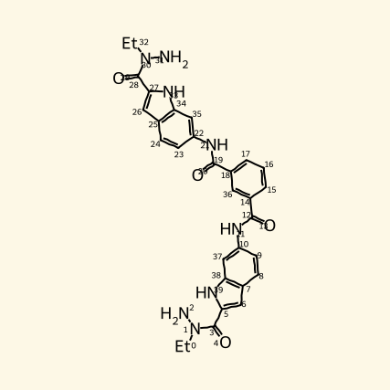 CCN(N)C(=O)c1cc2ccc(NC(=O)c3cccc(C(=O)Nc4ccc5cc(C(=O)N(N)CC)[nH]c5c4)c3)cc2[nH]1